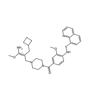 CO/C(N)=C(/CC1CCC1)CN1CCN(C(=O)c2ccc(NSc3cccc4cccnc34)c(OC)c2)CC1